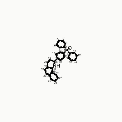 O=P(c1ccccc1)(c1ccccc1)c1ccc(C2C=Cc3ccc4ccccc4c3N2)cc1